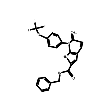 C=C1C=Cc2cc(C(=O)NCc3ccccc3)[nH]c2N1c1ccc(OC(F)(F)F)cc1